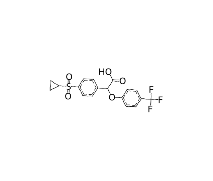 O=C(O)C(Oc1ccc(C(F)(F)F)cc1)c1ccc(S(=O)(=O)C2CC2)cc1